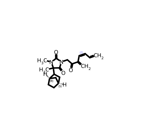 C=C/C=C\C(=C)C(=O)CN1C(=O)N(C)C(C)(C2C[C@H]3CC[C@@H]2C3)C1=O